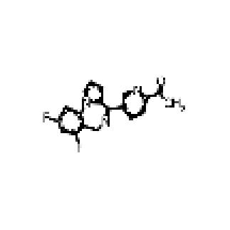 CC(=O)c1ccc(C2=NCc3c(F)cc(F)cc3-n3cccc32)cn1